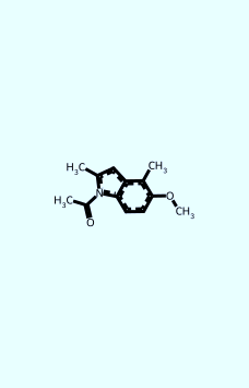 COc1ccc2c(cc(C)n2C(C)=O)c1C